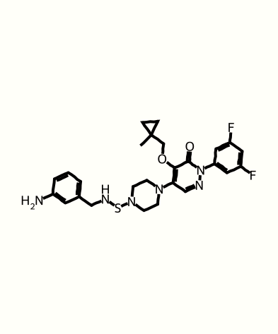 CC1(COc2c(N3CCN(SNCc4cccc(N)c4)CC3)cnn(-c3cc(F)cc(F)c3)c2=O)CC1